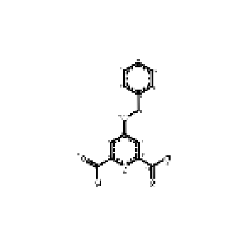 O=C(Cl)c1cc(OCc2ccccc2)cc(C(=O)Cl)n1